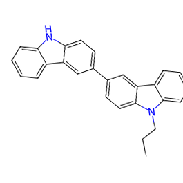 CCCn1c2ccccc2c2cc(-c3ccc4[nH]c5ccccc5c4c3)ccc21